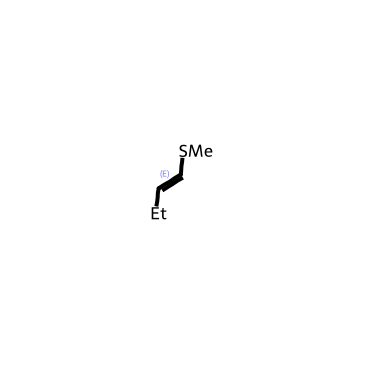 CC/C=C/SC